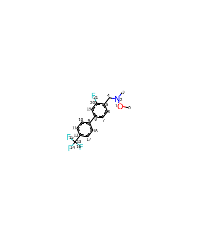 CON(C)Cc1ccc(-c2ccc(C(F)(F)F)cc2)cc1F